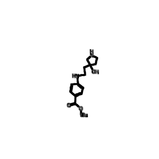 CC(C)(C)OC(=O)c1ccc(NCCC2(O)CCNC2)cc1